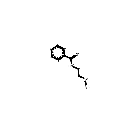 C[Se]CCNC(=O)c1ccccc1